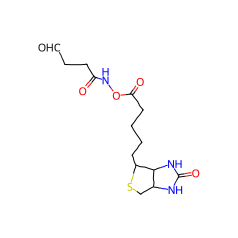 O=CCCC(=O)NOC(=O)CCCCC1SCC2NC(=O)NC21